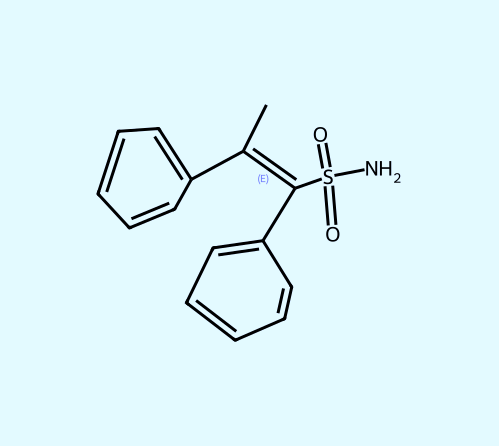 C/C(=C(/c1ccccc1)S(N)(=O)=O)c1ccccc1